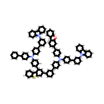 c1ccc(-c2ccc(N(c3ccc(-c4cccc(-n5c6ccccc6c6ccccc65)c4)cc3)c3ccc(-c4cc(-c5cccc(-c6ccc(N(c7ccc(-c8cccc(-n9c%10ccccc%10c%10ccccc%109)c8)cc7)c7ccc(-c8ccc9c(c8)oc8ccccc89)cc7)cc6)c5)cc5sc6ccccc6c45)cc3)cc2)cc1